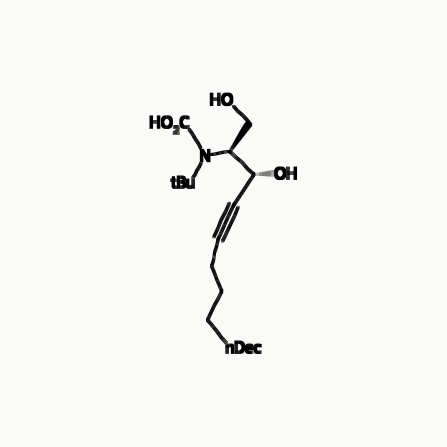 CCCCCCCCCCCCCC#C[C@@H](O)[C@H](CO)N(C(=O)O)C(C)(C)C